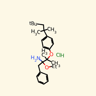 CCOC(N)(Cc1ccccc1)C(C)(C)Oc1ccc(C(C)(C)CC(C)(C)C)cc1.Cl